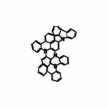 c1ccc(-c2ccccc2B2c3ccccc3N3c4cc5c(cc4B(c4ccccc4-c4ccccc4)c4cccc2c43)c2cccc3c4ccccc4n5c32)cc1